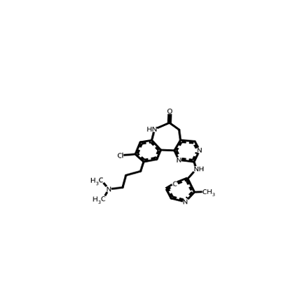 Cc1ncccc1Nc1ncc2c(n1)-c1cc(CCCN(C)C)c(Cl)cc1NC(=O)C2